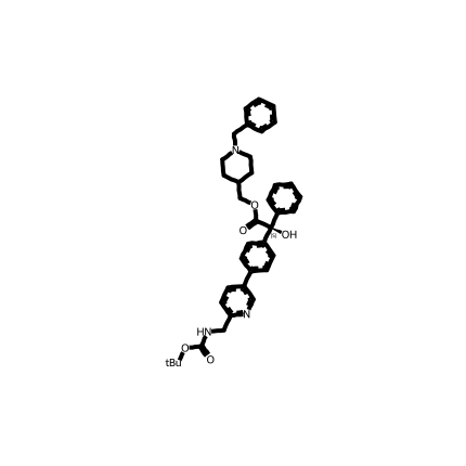 CC(C)(C)OC(=O)NCc1ccc(-c2ccc([C@](O)(C(=O)OCC3CCN(Cc4ccccc4)CC3)c3ccccc3)cc2)cn1